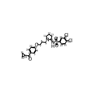 O=C(c1ccc(OCCCN2CCCC2NS(=O)(=O)c2ccc(Cl)c(Cl)c2)cc1)C1CC1